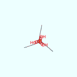 CCCCCCCCCCCCCCCCCCC(Cc1cc(C(C)(C)C)c(OP(Oc2c(C(C)(C)C)cc(CC(CCCCCCCCCCCCCCCCCC)C(=O)O)cc2C(C)(C)C)Oc2c(C(C)(C)C)cc(CC(CCCCCCCCCCCCCCCCCC)C(=O)O)cc2C(C)(C)C)c(C(C)(C)C)c1)C(=O)O